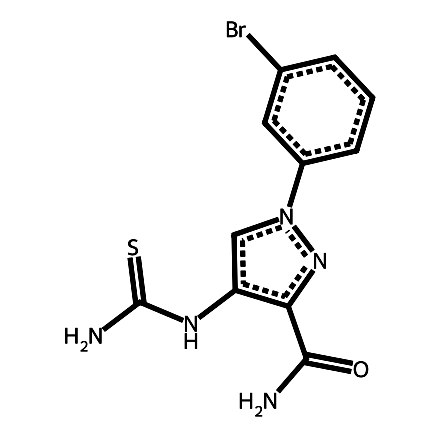 NC(=O)c1nn(-c2cccc(Br)c2)cc1NC(N)=S